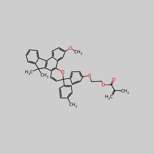 C=C(C)C(=O)OCCOc1ccc(C2(c3ccc(C)cc3)C=Cc3c4c(c5ccc(OC)cc5c3O2)-c2ccccc2C4(C)C)cc1